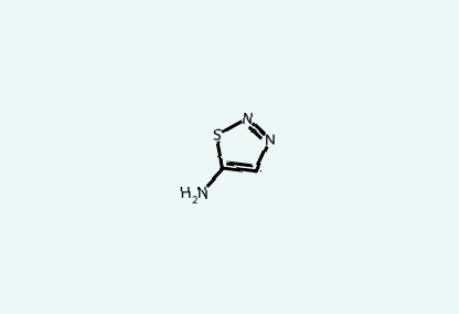 Nc1[c]nns1